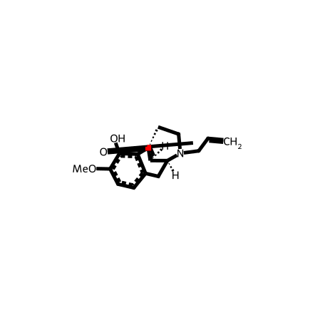 C=CCN1CC[C@@]23CC(=O)CC[C@@H]2[C@@H]1Cc1ccc(OC)c(O)c13